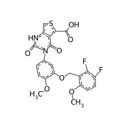 COc1ccc(-n2c(=O)[nH]c3csc(C(=O)O)c3c2=O)cc1OCc1c(OC)ccc(F)c1F